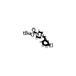 CC(C)(C)OC(=O)N1CCN(Cc2[c]ccc(Cl)c2)CC1